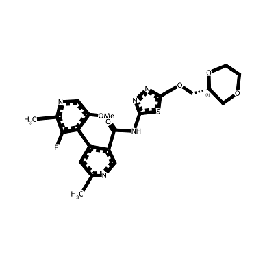 COc1cnc(C)c(F)c1-c1cc(C)ncc1C(=O)Nc1nnc(OC[C@H]2COCCO2)s1